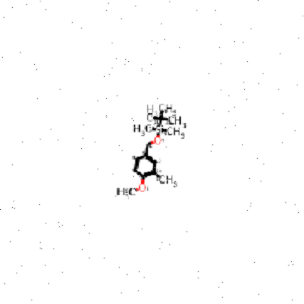 COc1ccc(CO[Si](C)(C)C(C)(C)C)cc1C